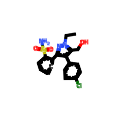 CCn1nc(-c2ccccc2S(N)(=O)=O)c(-c2ccc(Cl)cc2)c1CO